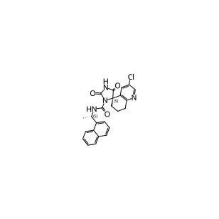 C[C@H](NC(=O)N1C(=O)NC(=O)[C@@]12CCCc1ncc(Cl)cc12)c1cccc2ccccc12